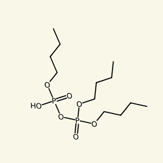 CCCCOP(=O)(O)OP(=O)(OCCCC)OCCCC